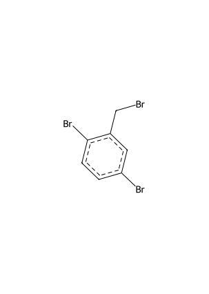 BrCc1cc(Br)ccc1Br